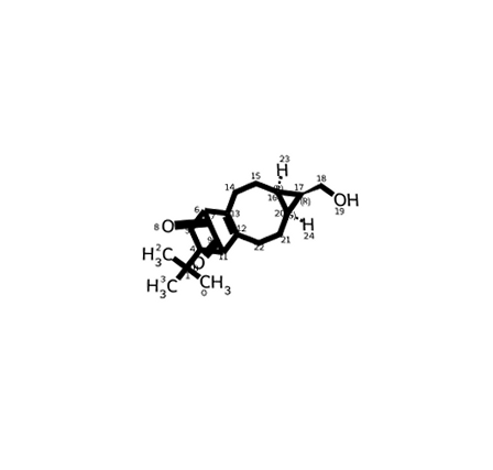 CC(C)(C)C1CC2C(=O)C(=O)C1C1=C2CC[C@H]2[C@@H](CO)[C@H]2CC1